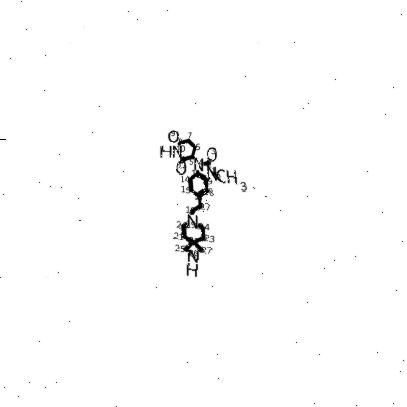 Cn1c(=O)n(C2CCC(=O)NC2=O)c2ccc(CCN3CCC4(CC3)CNC4)cc21